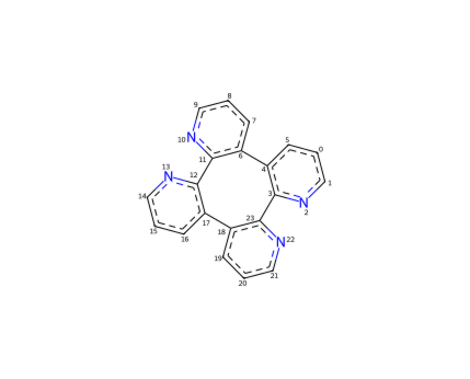 c1cnc2c(c1)-c1cccnc1-c1ncccc1-c1cccnc1-2